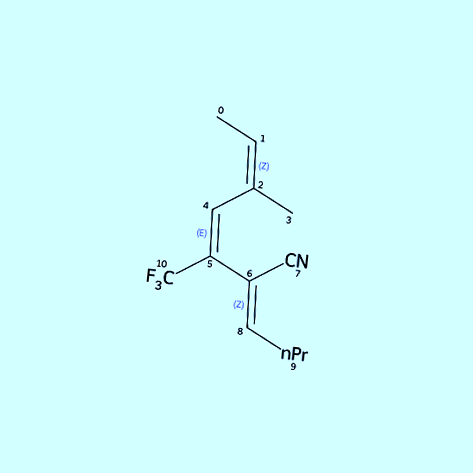 C\C=C(C)/C=C(\C(C#N)=C\CCC)C(F)(F)F